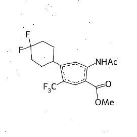 COC(=O)c1cc(C(F)(F)F)c(C2CCC(F)(F)CC2)cc1NC(C)=O